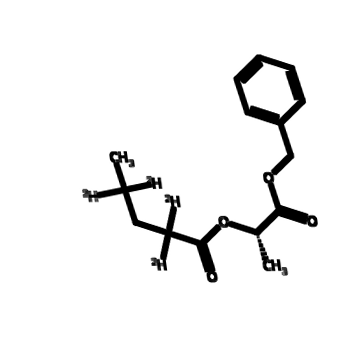 [2H]C([2H])(C)CC([2H])([2H])C(=O)O[C@@H](C)C(=O)OCc1ccccc1